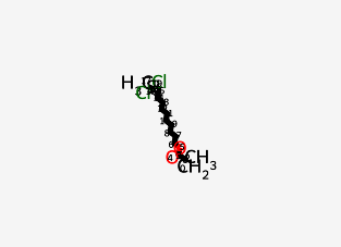 C=C(C)C(=O)OCCCCCCCCCC[Si](C)(Cl)Cl